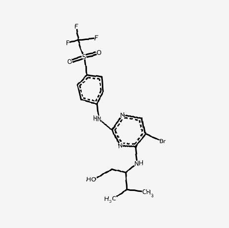 CC(C)C(CO)Nc1nc(Nc2ccc(S(=O)(=O)C(F)(F)F)cc2)ncc1Br